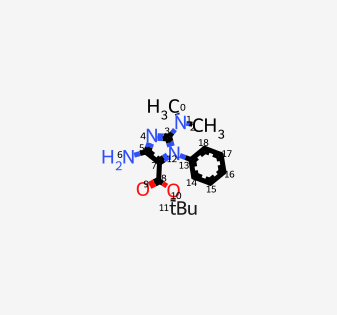 CN(C)c1nc(N)c(C(=O)OC(C)(C)C)n1-c1ccccc1